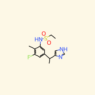 CCS(=O)(=O)Nc1cc(C(C)c2c[nH]cn2)cc(F)c1C